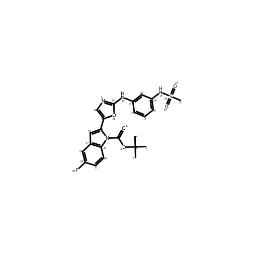 CC(C)(C)OC(=O)n1c(-c2cnc(Nc3cccc(NS(C)(=O)=O)c3)o2)cc2cc(F)ccc21